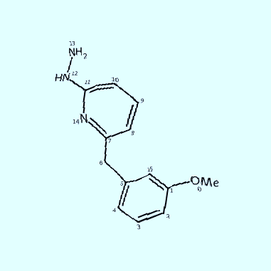 COc1cccc(Cc2cccc(NN)n2)c1